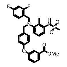 COC(=O)c1cccc(Oc2ccc(CN(Cc3ccc(F)cc3F)c3cccc(NS(C)(=O)=O)c3C)cc2)c1